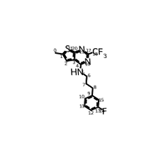 Cc1cc2c(NCCCc3cccc(F)c3)nc(C(F)(F)F)nc2s1